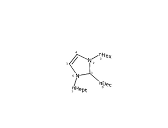 CCCCCCCCCCC1N(CCCCCC)C=CN1CCCCCCC